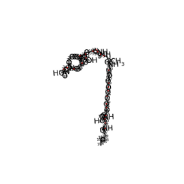 CC(CCCCNC(=S)Nc1ccc(CCOc2cc(CN3CCOCCOCCN(Cc4cccc(C(=O)O)n4)CCOCCOCC3)nc(C(=O)O)c2)cc1)C(=O)NCCOCCOCCOCCOCCOCCOCCOCCOCCC(=O)NC(CCCCNC(=O)CCCc1ccc(I)cc1)C(=O)O